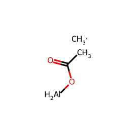 CC(=O)[O][AlH2].[CH3]